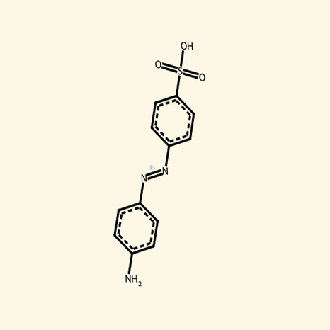 Nc1ccc(/N=N/c2ccc(S(=O)(=O)O)cc2)cc1